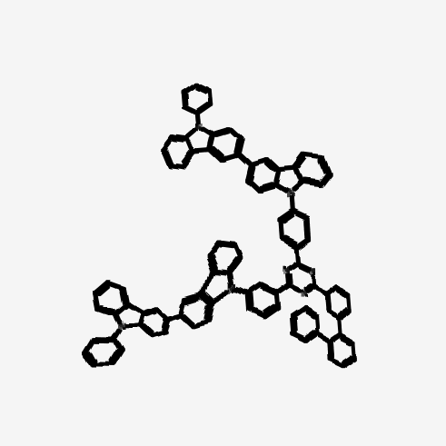 c1ccc(-c2ccccc2-c2cccc(-c3nc(-c4ccc(-n5c6ccccc6c6cc(-c7ccc8c(c7)c7ccccc7n8-c7ccccc7)ccc65)cc4)nc(-c4cccc(-n5c6ccccc6c6cc(-c7ccc8c(c7)c7ccccc7n8-c7ccccc7)ccc65)c4)n3)c2)cc1